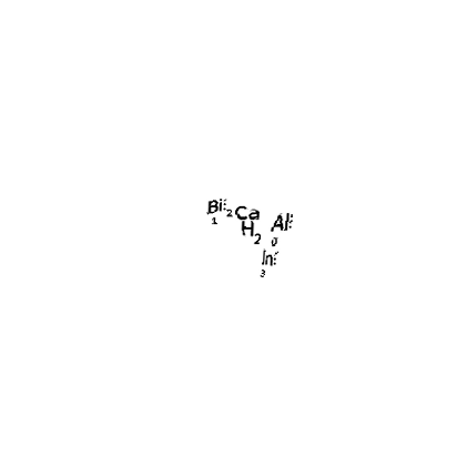 [Al].[Bi].[CaH2].[In]